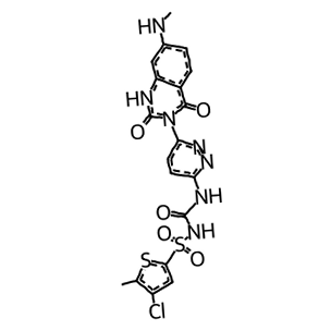 CNc1ccc2c(=O)n(-c3ccc(NC(=O)NS(=O)(=O)c4cc(Cl)c(C)s4)nn3)c(=O)[nH]c2c1